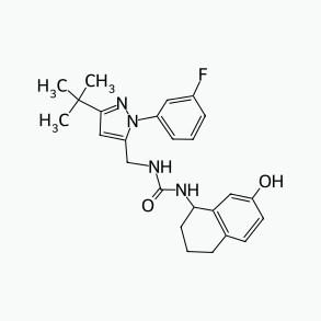 CC(C)(C)c1cc(CNC(=O)NC2CCCc3ccc(O)cc32)n(-c2cccc(F)c2)n1